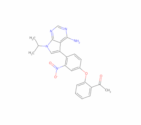 CC(=O)c1ccccc1Oc1ccc(-c2cn(C(C)C)c3ncnc(N)c23)c([N+](=O)[O-])c1